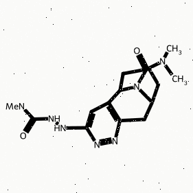 CNC(=O)NNc1cc2c(nn1)CC1CCCC2N1C(=O)N(C)C